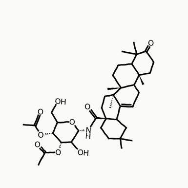 CC(=O)O[C@@H]1C(CO)O[C@H](NC(=O)[C@]23CCC(C)(C)CC2C2=CCC4[C@@]5(C)CCC(=O)C(C)(C)C5CC[C@@]4(C)[C@]2(C)CC3)C(O)[C@@H]1OC(C)=O